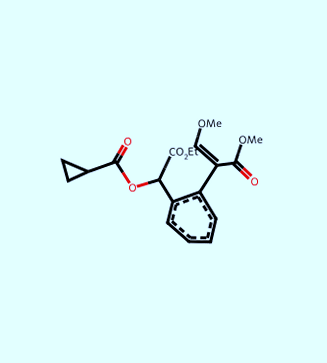 CCOC(=O)C(OC(=O)C1CC1)c1ccccc1C(=COC)C(=O)OC